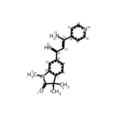 CN1C(=O)C(C)(C)c2ccc(C(=N)/C=C(\N)c3ccncc3)cc21